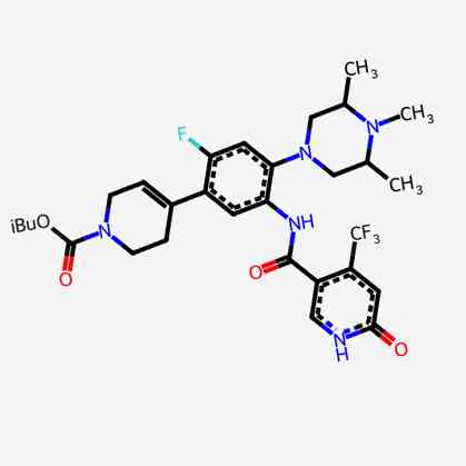 CC(C)COC(=O)N1CC=C(c2cc(NC(=O)c3c[nH]c(=O)cc3C(F)(F)F)c(N3CC(C)N(C)C(C)C3)cc2F)CC1